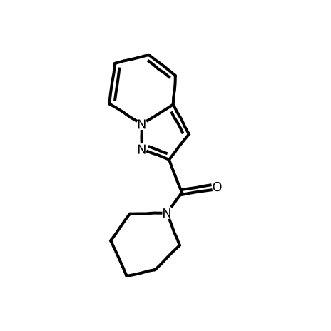 O=C(c1cc2ccccn2n1)N1CCCCC1